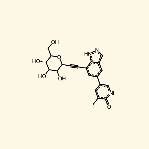 Cc1cc(-c2cc(C#CC3OC(CO)[C@@H](O)C(O)C3O)c3[nH]ncc3c2)c[nH]c1=O